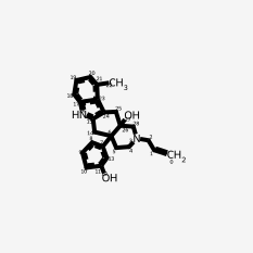 C=CCN1CCC2(c3cccc(O)c3)Cc3[nH]c4cccc(C)c4c3CC2(O)C1